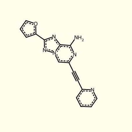 Nc1nc(C#Cc2ccccn2)cn2nc(-c3ccco3)nc12